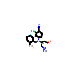 CNC[C@H](CC=O)N(Cc1cc(F)ccc1C)c1ccc(C#N)c(Cl)c1